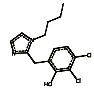 CCCCn1ccnc1Cc1ccc(Cl)c(Cl)c1O